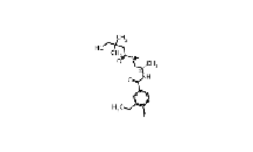 CCc1cc(C(=O)N[C@@H](C)CNC(=O)CC(C)(C)CO)ccc1F